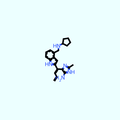 C=C/C=C(/c1cc2c(CNC3CCCC3)cccc2[nH]1)c1nc(C)[nH]c1N